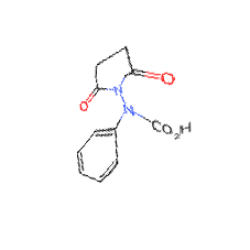 O=C1CCC(=O)N1N(C(=O)O)c1ccccc1